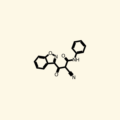 N#CC(C(=O)Nc1ccccc1)C(=O)c1noc2ccccc12